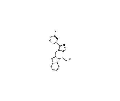 FCCn1c(Cn2ccnc2-c2cccc(F)c2)nc2ccccc21